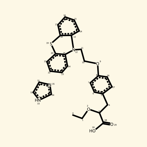 CCOC(Cc1ccc(OCCN2c3ccccc3Sc3ccccc32)cc1)C(=O)O.c1c[nH]cn1